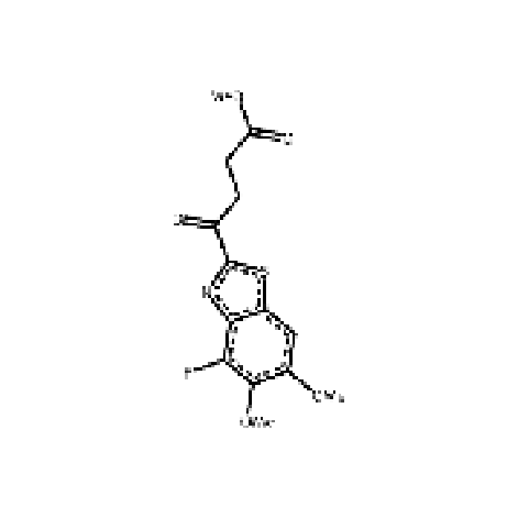 COC(=O)CCC(=O)c1nc2c(F)c(OC)c(OC)cc2s1